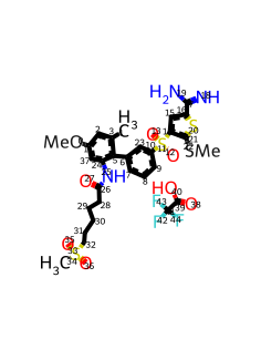 COc1cc(C)c(-c2cccc(S(=O)(=O)c3cc(C(=N)N)sc3SC)c2)c(NC(=O)CCCCCS(C)(=O)=O)c1.O=C(O)C(F)(F)F